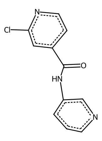 O=C(Nc1cccnc1)c1ccnc(Cl)c1